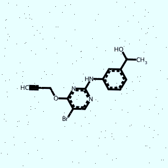 C#CCOc1nc(Nc2cccc(C(C)O)c2)ncc1Br